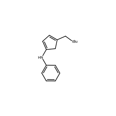 CC(C)(C)CC1=CC=C(Nc2ccccc2)C1